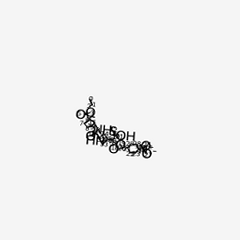 C=CCOC(=O)c1ccc(NC(=O)C2C[C@@H]([C@@H](C(=O)OCc3ccc([N+](=O)[O-])cc3)C(O)=S)CN2)s1